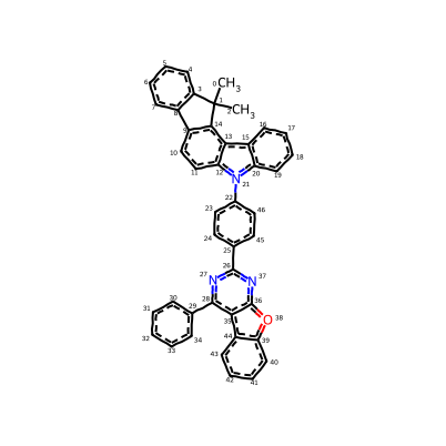 CC1(C)c2ccccc2-c2ccc3c(c21)c1ccccc1n3-c1ccc(-c2nc(-c3ccccc3)c3c(n2)oc2ccccc23)cc1